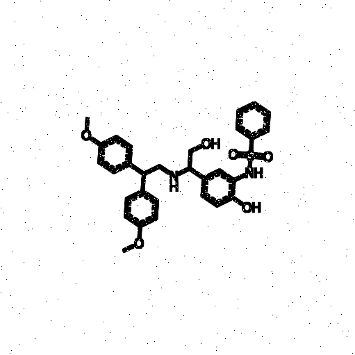 COc1ccc(C(CNC(CO)c2ccc(O)c(NS(=O)(=O)c3ccccc3)c2)c2ccc(OC)cc2)cc1